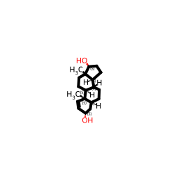 C[C@]12C=C[C@@H](O)C[C@@H]1CC[C@@H]1[C@@H]2CC[C@]2(C)[C@@H](O)CC[C@@H]12